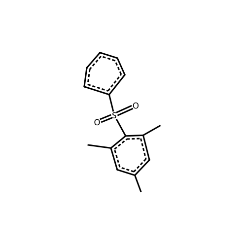 Cc1cc(C)c(S(=O)(=O)c2ccccc2)c(C)c1